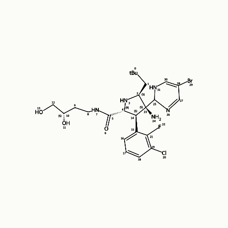 CC(C)(C)C[C@@H]1N[C@@H](C(=O)NCC[C@H](O)CO)[C@H](c2cccc(Cl)c2F)[C@@]1(N)C1N=CC(Br)=CN1